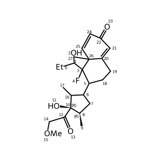 CCC(O)C1(F)C(C2C[C@@H](C)[C@](O)(C(=O)COC)C2C)CCC2=CC(=O)C=CC21C